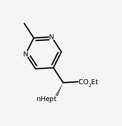 CCCCCCC[C@@H](C(=O)OCC)c1cnc(C)nc1